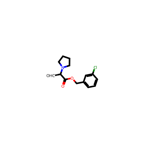 O=CC(C(=O)OCc1cccc(Cl)c1)N1CCCC1